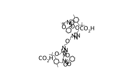 Cc1ccc(C(OCc2cn(CCOCCn3cc(COC(c4ccc(C)c(CN5C[C@@H](C)Oc6ccccc6S5(=O)=O)c4)C(C)(C)C(=O)O)nn3)nn2)C(C)(C)C(=O)O)cc1CN1C[C@@H](C)Oc2ccccc2S1(=O)=O